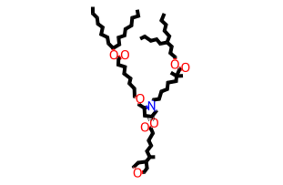 CCCCCCCCC(CCCCCCCC)OC(=O)CCCCCCCOCC1C[C@H](OC(=O)CCCCC(C)C2CCOCC2)CN1CCCCCCC(C)(C)C(=O)OCCCC(CCCCC)CCCCC